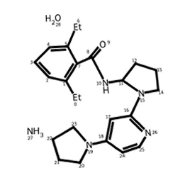 CCc1cccc(CC)c1C(=O)NC1CCCN1c1cc(N2CCCC2)ccn1.N.O